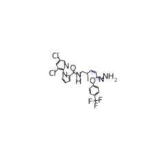 N/N=C(\C=C/C(I)CNC(=O)c1cccn1-c1ncc(Cl)cc1Cl)Oc1ccc(C(F)(F)F)cc1